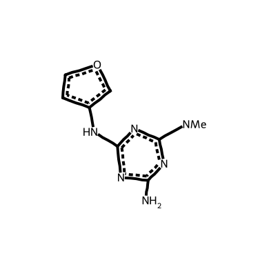 CNc1nc(N)nc(Nc2ccoc2)n1